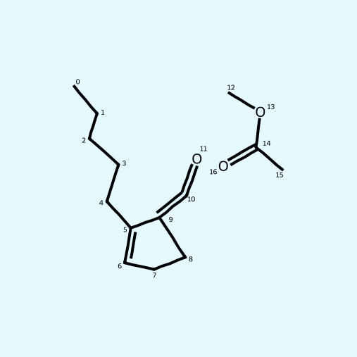 CCCCCC1=CCCC1=C=O.COC(C)=O